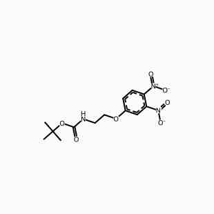 CC(C)(C)OC(=O)NCCOc1ccc([N+](=O)[O-])c([N+](=O)[O-])c1